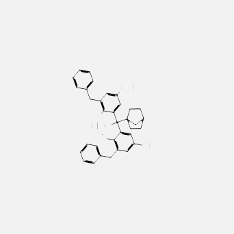 Cc1cc(Cc2ccccc2)c(O)c(C(C)(c2cc(C)cc(Cc3ccccc3)c2O)C23CCC(CC2)C3)c1